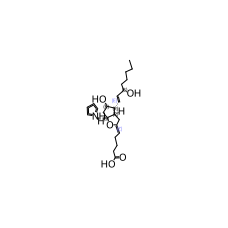 CCCCC[C@H](O)/C=C/[C@@H]1[C@H]2C/C(=C/CCCC(=O)O)O[C@H]2C[C@H]1O.c1cc[nH]c1